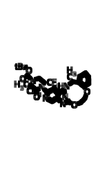 C[C@H]1Nc2nc(nc3cnc(N4CCN(C(=O)OC(C)(C)C)C(C)(C)C4=O)c(C(F)(F)F)c23)OCCOc2ccccc21